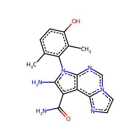 Cc1ccc(O)c(C)c1-n1c(N)c(C(N)=O)c2c1ncn1ccnc21